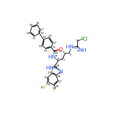 N=C(CCl)NCCC[C@H](NC(=O)c1ccc(-c2ccccc2)cc1)c1nc2cc(F)c(F)cc2[nH]1